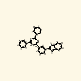 c1ccc(-c2nc(-c3ccccc3)nc(-c3cccc(-c4nc5ccccc5o4)c3)n2)cc1